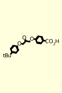 CC(C)(C)c1ccc(OCC(=O)COc2ccc(C(=O)O)cc2)cc1